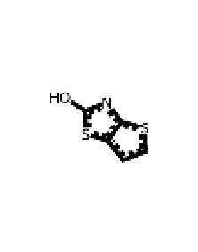 Oc1nc2sccc2s1